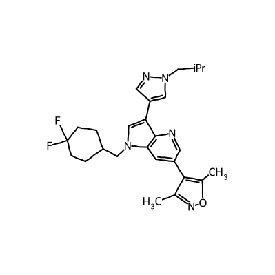 Cc1noc(C)c1-c1cnc2c(-c3cnn(CC(C)C)c3)cn(CC3CCC(F)(F)CC3)c2c1